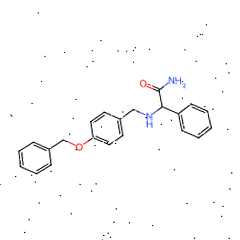 NC(=O)C(NCc1ccc(OCc2ccccc2)cc1)c1ccccc1